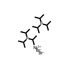 CC(C)P(C(C)C)C(C)C.CC(C)P(C(C)C)C(C)C.[Br-].[Br-].[Ni+2]